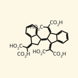 O=C(O)C(C(=O)O)=C1CC(=C2C(=C(C(=O)O)C(=O)O)c3ccccc3C2=C(C(=O)O)C(=O)O)c2ccccc21